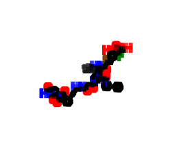 CC(C)(C)[C@H](NC(=O)c1cc2cc(C(F)(F)P(=O)(O)O)ccc2s1)C(=O)N1CCN(C(=O)CC(=O)NCCC#Cc2cccc3c2C(=O)N(C2CCC(=O)NC2=O)C3=O)C[C@H]1C(=O)N1CCCC(c2ccccc2)C1